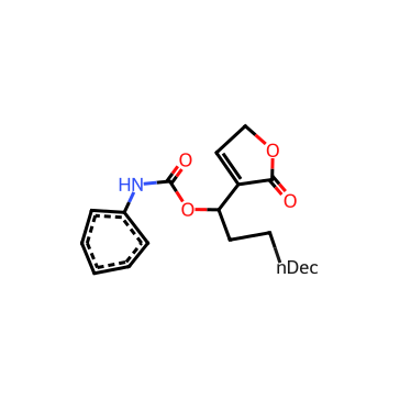 CCCCCCCCCCCCC(OC(=O)Nc1ccccc1)C1=CCOC1=O